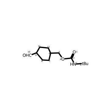 CC(C)(C)NC(=O)OCC1CCC(C=O)CC1